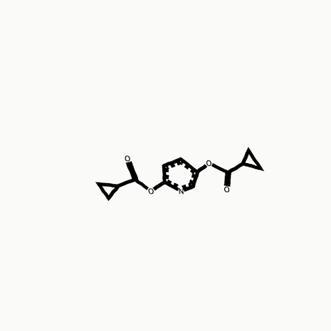 O=C(Oc1ccc(OC(=O)C2CC2)nc1)C1CC1